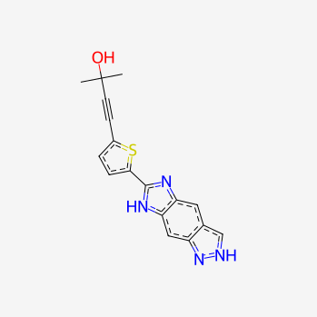 CC(C)(O)C#Cc1ccc(-c2nc3cc4c[nH]nc4cc3[nH]2)s1